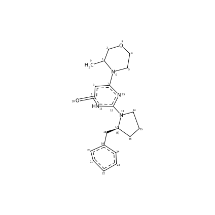 CC1COCCN1c1cc(=O)[nH]c(N2CCC[C@H]2Cc2ccccc2)n1